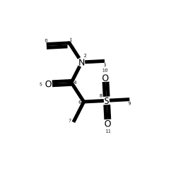 C=CN(C)C(=O)C(C)S(C)(=O)=O